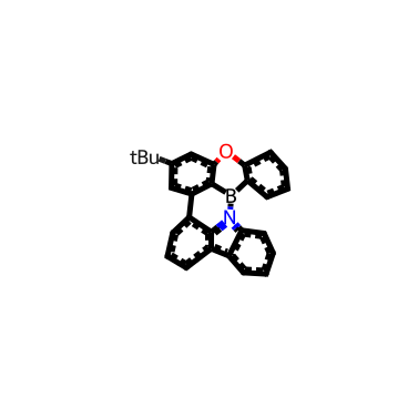 CC(C)(C)c1cc2c3c(c1)-c1cccc4c5ccccc5n(c14)B3c1ccccc1O2